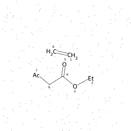 C=C.CCOC(=O)CC(C)=O